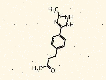 CC(=O)CCc1ccc(C2=NN(C)NN2)cc1